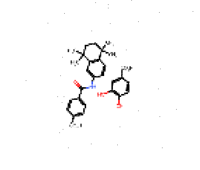 CC1(C)CCC(C)(C)c2cc(NC(=O)c3ccc(C(=O)O)cc3)ccc21.O=C(O)c1ccc(O)c(O)c1